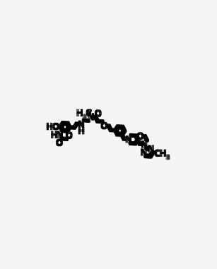 Cc1ccnc(N2CCOC3(CCN(Cc4cccc(CCOCCC(=O)N(C)CCNCCc5ccc(O)c6c5OCC(=O)N6)c4)CC3)C2)n1